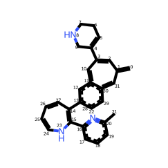 C=C1C=C(C2=CCCNC2)C=c2cc(C3=C(c4cccc(C)n4)NC=CC=C3)ccc2=C1